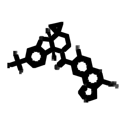 Nc1nc2cc(F)c(C(=O)N3CCC4(CC4)[C@@H]4Oc5cc(C(F)(F)F)ccc5[C@@H]43)cc2n2cncc12